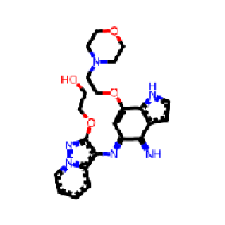 N=C1C(=Nc2c(OCCO)nn3ccccc23)C=C(OCCN2CCOCC2)c2[nH]ccc21